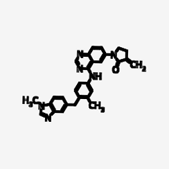 C=C1CCN(c2ccc3ncnc(Nc4ccc(Cc5ccc6c(c5)ncn6C)c(C)c4)c3c2)C1=O